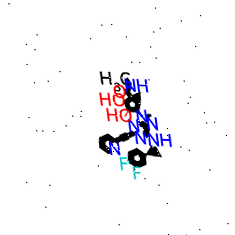 CNC(=O)C12CC1[C@@H](n1cnc3c(NC4C[C@H]4c4ccc(F)c(F)c4)nc(C#Cc4ccccn4)nc31)[C@H](O)[C@@H]2O